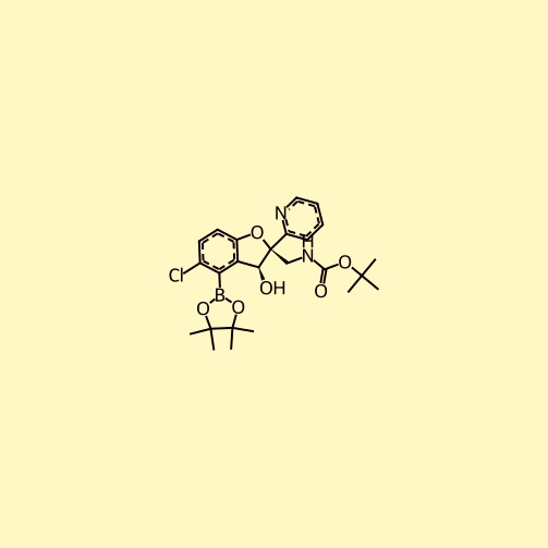 CC(C)(C)OC(=O)NC[C@]1(c2ccccn2)Oc2ccc(Cl)c(B3OC(C)(C)C(C)(C)O3)c2[C@@H]1O